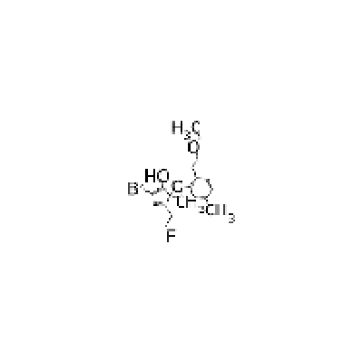 CCOCCc1ccc(C)cc1OC1(C)C(CCF)=CC(Br)=C1O